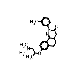 Cc1cccc(N2N=C3c4ccc(OC(C)CN(C)C)cc4CCC3CC2=O)c1